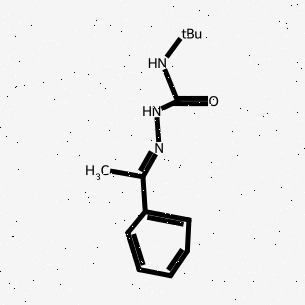 C/C(=N\NC(=O)NC(C)(C)C)c1ccccc1